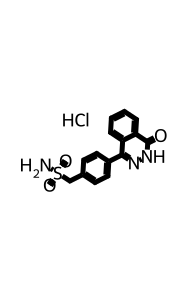 Cl.NS(=O)(=O)Cc1ccc(-c2n[nH]c(=O)c3ccccc23)cc1